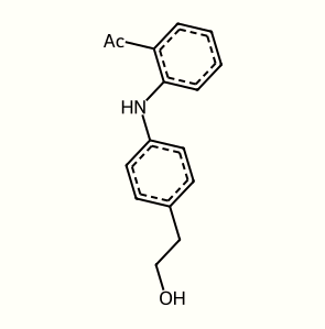 CC(=O)c1ccccc1Nc1ccc(CCO)cc1